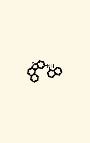 c1ccc2c(Nc3ccc4sc5ccc6ccccc6c5c4c3)cccc2c1